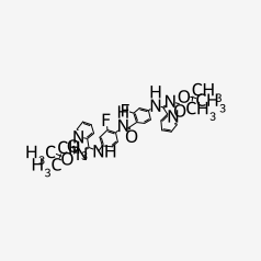 CC(C)(C)OC(=O)/N=C(/Nc1ccc(NC(=O)c2ccc(N/C(=N/C(=O)OC(C)(C)C)c3ccccn3)cc2F)c(F)c1)c1ccccn1